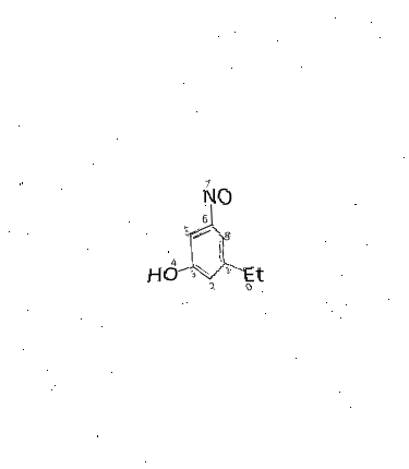 CCc1cc(O)cc(N=O)c1